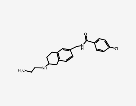 CCCNC1CCc2cc(CNC(=O)c3ccc(Cl)cc3)ccc2C1